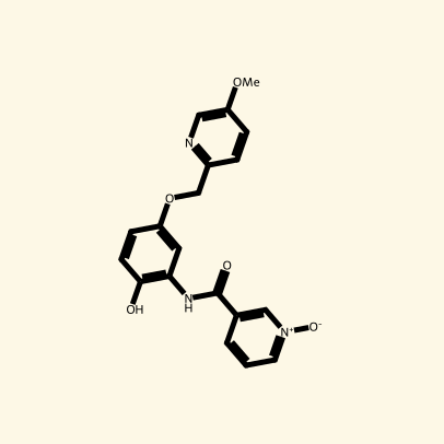 COc1ccc(COc2ccc(O)c(NC(=O)c3ccc[n+]([O-])c3)c2)nc1